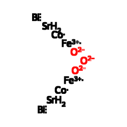 [Bi].[Bi].[Co].[Co].[Fe+3].[Fe+3].[O-2].[O-2].[O-2].[SrH2].[SrH2]